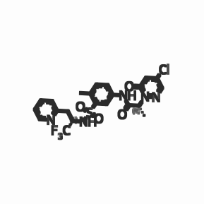 Cc1ccc(NC(=O)[C@@H](C)n2ncc(Cl)cc2=O)cc1S(=O)(=O)N[C@@H](Cc1ccccn1)C(F)(F)F